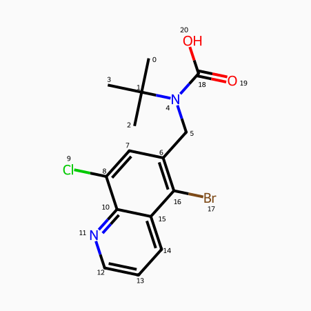 CC(C)(C)N(Cc1cc(Cl)c2ncccc2c1Br)C(=O)O